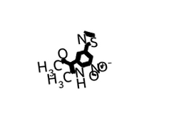 CC(=O)c1c(C)[nH]c2c([N+](=O)[O-])cc(-c3nccs3)cc12